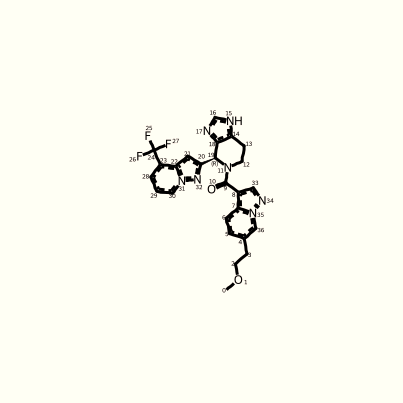 COCCc1ccc2c(C(=O)N3CCc4[nH]cnc4[C@@H]3c3cc4c(C(F)(F)F)cccn4n3)cnn2c1